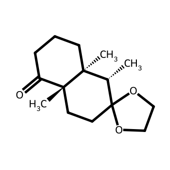 C[C@@H]1C2(CC[C@]3(C)C(=O)CCC[C@@]13C)OCCO2